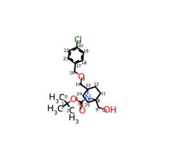 CC(C)(C)OC(=O)N1C2(CO)CCC1(COCc1ccc(Cl)cc1)CC2